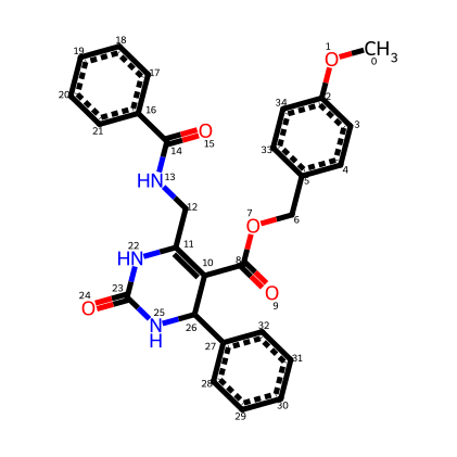 COc1ccc(COC(=O)C2=C(CNC(=O)c3ccccc3)NC(=O)NC2c2ccccc2)cc1